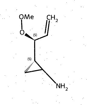 C=C[C@H](OOC)[C@H]1CC1N